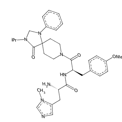 COc1ccc(C[C@@H](NC(=O)[C@@H](N)Cc2cncn2C)C(=O)N2CCC3(CC2)C(=O)N(C(C)C)CN3c2ccccc2)cc1